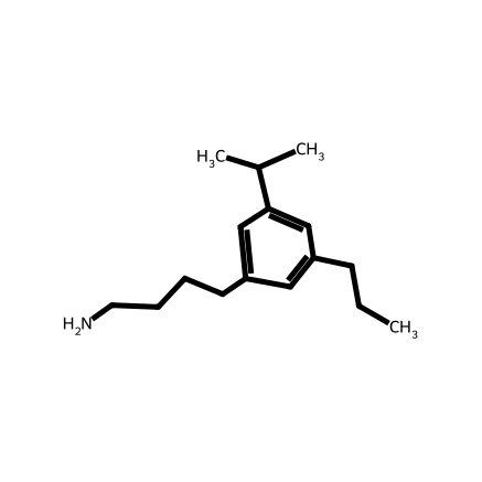 CCCc1cc(CCCCN)cc(C(C)C)c1